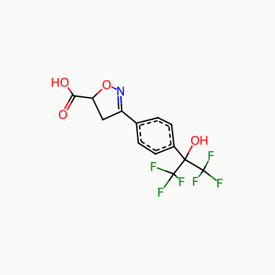 O=C(O)C1CC(c2ccc(C(O)(C(F)(F)F)C(F)(F)F)cc2)=NO1